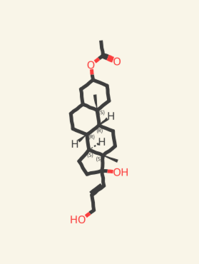 CC(=O)OC1CC[C@@]2(C)C(CC[C@@H]3[C@H]2CC[C@@]2(C)[C@H]3CCC2(O)C=CCO)C1